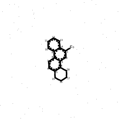 Fc1cc2c3c(ccc2c2ccccc12)CCCC3